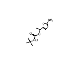 CC(OC(=O)NC(C)(C)C)c1ccc(N)o1